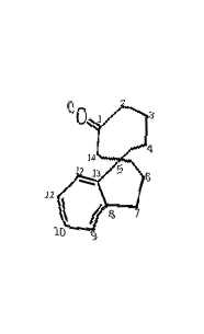 O=C1CCCC2(CCc3ccccc32)C1